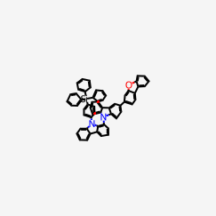 c1ccc([Si](c2ccccc2)(c2ccccc2)c2ccc(-n3c4ccccc4c4cccc(-n5c6ccccc6c6cc(-c7ccc8c(c7)oc7ccccc78)ccc65)c43)cc2)cc1